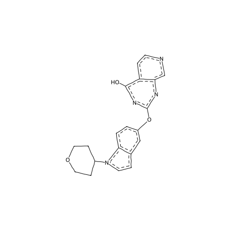 Oc1nc(Oc2ccc3c(ccn3C3CCOCC3)c2)nc2cnccc12